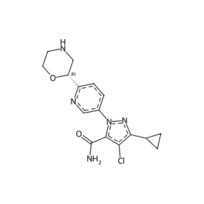 NC(=O)c1c(Cl)c(C2CC2)nn1-c1ccc([C@H]2CNCCO2)nc1